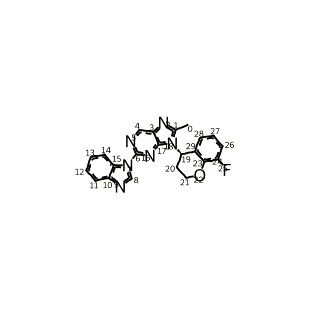 Cc1nc2cnc(-n3cnc4ccccc43)nc2n1[C@@H]1CCOc2c(F)cccc21